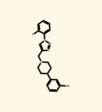 Oc1cccc(C2CCN(Cc3cn(-c4ccccc4F)nn3)CC2)c1